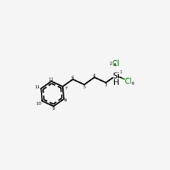 Cl[SiH](Cl)CCCCc1ccccc1